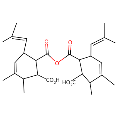 CC(C)=CC1C=C(C)C(C)C(C(=O)O)C1C(=O)OC(=O)C1C(C=C(C)C)C=C(C)C(C)C1C(=O)O